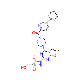 Cc1cc2c(N3CCN(C(=O)c4ccc(-c5ccccc5)cn4)CC3)nc(NC(=O)[C@H](O)CO)nc2s1